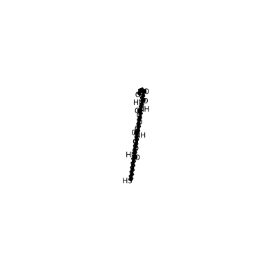 O=C(CCCCCCCCCCS)NCCOCCOCCNC(=O)COCCOCCOCC(=O)NCCNC(=O)CCN1C(=O)C=CC1=O